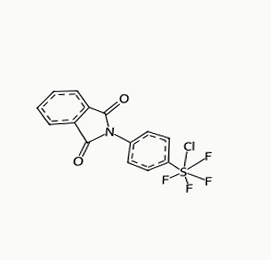 O=C1c2ccccc2C(=O)N1c1ccc(S(F)(F)(F)(F)Cl)cc1